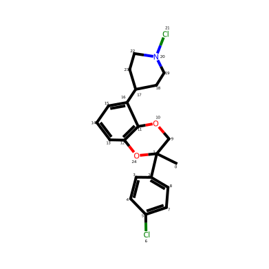 CC1(c2ccc(Cl)cc2)COc2c(cccc2C2CCN(Cl)CC2)O1